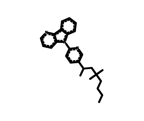 CCCCC(C)(C)CC(C)c1ccc(-n2c3ccccc3c3ncccc32)nc1